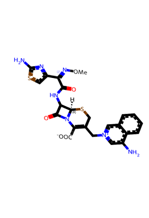 CO/N=C(\C(=O)NC1C(=O)N2C(C(=O)[O-])=C(C[n+]3cc(N)c4ccccc4c3)CS[C@H]12)c1csc(N)n1